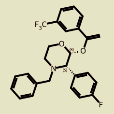 C=C(O[C@H]1OCCN(Cc2ccccc2)[C@H]1c1ccc(F)cc1)c1cccc(C(F)(F)F)c1